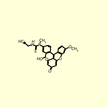 C#CCNC(=S)N(C)c1ccc(-c2c3ccc(=O)cc-3oc3cc(OC)ccc23)c(C(=O)O)c1